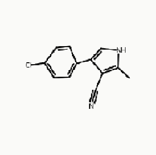 Cc1[nH]cc(-c2ccc(Cl)cc2)c1C#N